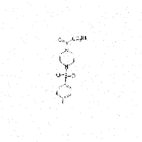 CCOC(=O)C(=O)N1CCN(S(=O)(=O)c2ccc(C)cc2)CC1